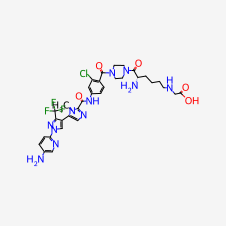 Cn1c(-c2cn(-c3ccc(N)cn3)nc2C(F)(F)F)cnc1C(=O)Nc1ccc(C(=O)N2CCN(C(=O)[C@@H](N)CCCCNCC(=O)O)CC2)c(Cl)c1